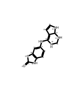 O=c1[nH]c2ccc(NC3=C4C=CNC4NCN3)cc2s1